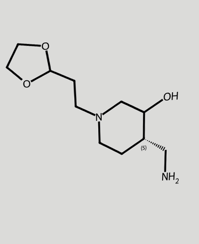 NC[C@@H]1CCN(CCC2OCCO2)CC1O